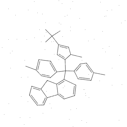 Cc1ccc(C(C2=CC(C(C)(C)C)=CC2C)(c2ccc(C)cc2)c2cccc3c2Cc2ccccc2-3)cc1